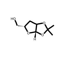 CC1(C)OC2C[C@@H](CO)O[C@H]2O1